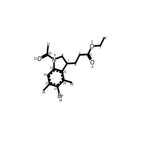 CCOC(=O)CCC1CN(C(C)=O)c2cc(C)c(Br)c(C)c21